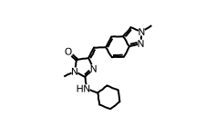 CN1C(=O)/C(=C/c2ccc3nn(C)cc3c2)N=C1NC1CCCCC1